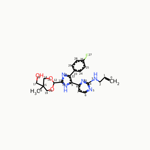 C=CCNc1nccc(-c2[nH]c(C3OCC(C)(CO)CO3)nc2-c2ccc(F)cc2)n1